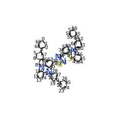 c1ccc(-c2ccc(CN3c4ccccc4N(c4ccc(-c5ccccc5)cc4)c4cc(-c5nc(-c6cccc7c6Sc6ccccc6N7c6cccc(-c7ccccc7)c6)ns5)ccc43)cc2)cc1